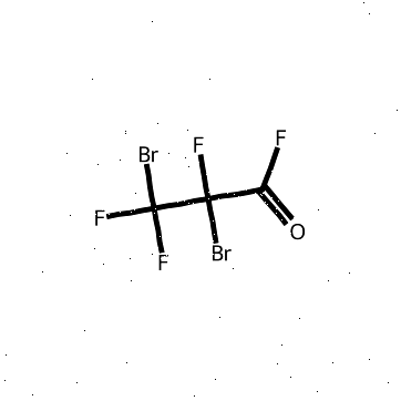 O=C(F)C(F)(Br)C(F)(F)Br